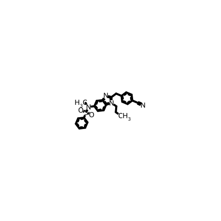 CCCn1c(Cc2ccc(C#N)cc2)nc2cc(N(C)S(=O)(=O)c3ccccc3)ccc21